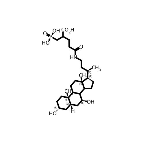 C[C@H](CCNC(=O)CCC(CP(=O)(O)O)C(=O)O)[C@H]1CCC2C3C(CC[C@@]21C)[C@@]1(C)CC[C@@H](O)C[C@H]1C[C@@H]3O